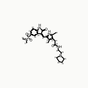 Cc1[nH]c(/C=C2\C(=O)Nc3ccc(S(=O)(=O)N(C)C)cc32)c(C)c1CC(=O)NCCN1CCCC1